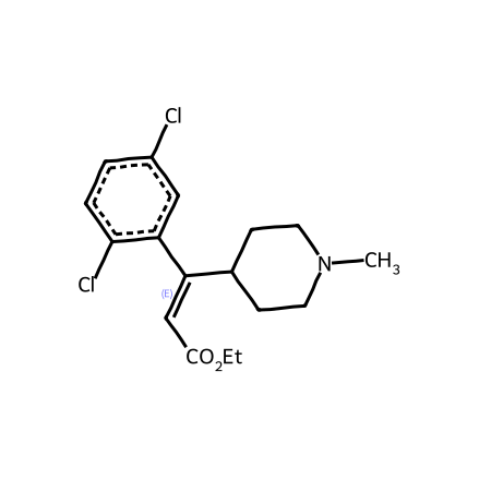 CCOC(=O)/C=C(/c1cc(Cl)ccc1Cl)C1CCN(C)CC1